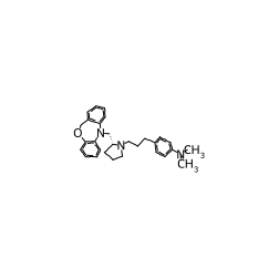 CN(C)c1ccc(CCCN2CCC[C@@H]2CN2c3ccccc3COc3ccccc32)cc1